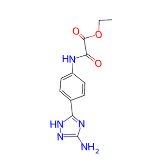 CCOC(=O)C(=O)Nc1ccc(-c2nc(N)n[nH]2)cc1